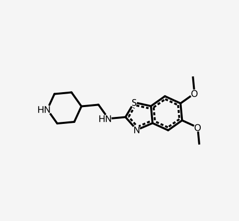 COc1cc2nc(NCC3CCNCC3)sc2cc1OC